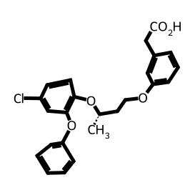 C[C@@H](CCOc1cccc(CC(=O)O)c1)Oc1ccc(Cl)cc1Oc1ccccc1